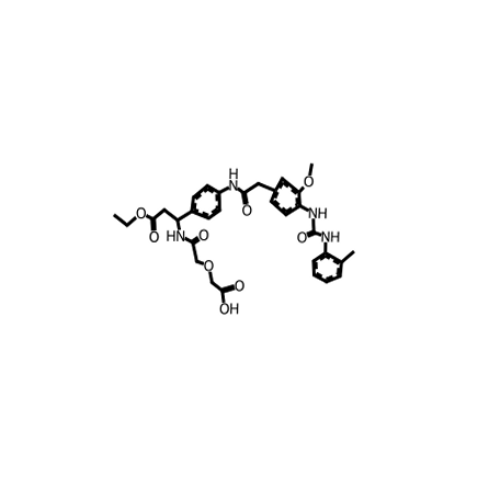 CCOC(=O)CC(NC(=O)COCC(=O)O)c1ccc(NC(=O)Cc2ccc(NC(=O)Nc3ccccc3C)c(OC)c2)cc1